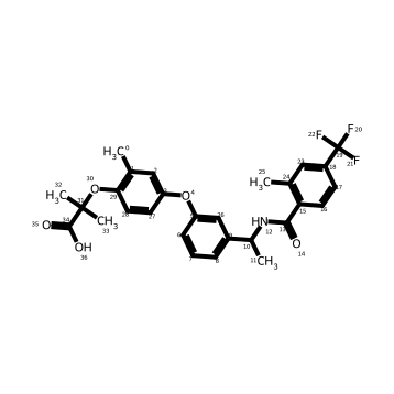 Cc1cc(Oc2cccc(C(C)NC(=O)c3ccc(C(F)(F)F)cc3C)c2)ccc1OC(C)(C)C(=O)O